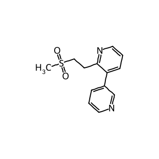 CS(=O)(=O)CCc1ncccc1-c1cccnc1